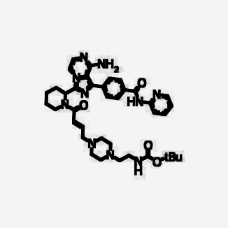 CC(C)(C)OC(=O)NCCN1CCN(C/C=C/C(=O)N2CCCCC2c2nc(-c3ccc(C(=O)Nc4ccccn4)cc3)c3c(N)nccn23)CC1